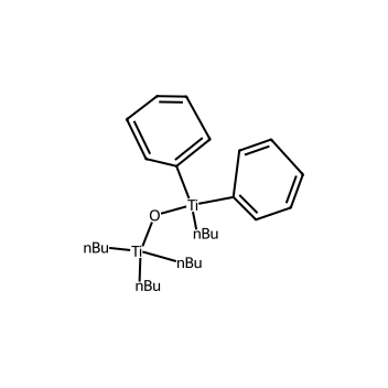 CCC[CH2][Ti]([CH2]CCC)([CH2]CCC)[O][Ti]([CH2]CCC)([c]1ccccc1)[c]1ccccc1